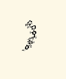 COc1ccc(S(=O)(=O)N[C@@H](CNC(=O)c2ccc(N3CCC[C@H](NC4=NCCCN4)C3)c(F)c2)C(=O)O)cc1